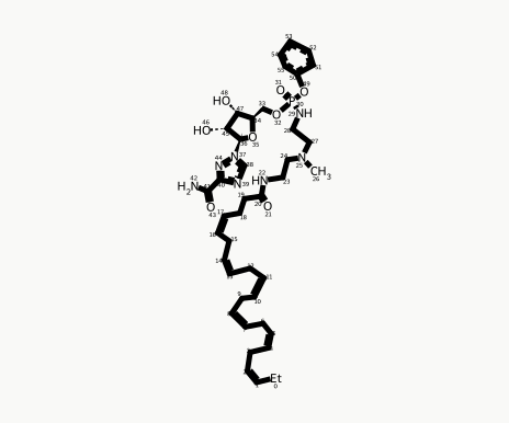 CC/C=C\C/C=C\C/C=C\C/C=C\C/C=C\C/C=C\CCC(=O)NCCN(C)CCNP(=O)(OC[C@H]1O[C@@H](n2cnc(C(N)=O)n2)[C@H](O)[C@@H]1O)Oc1ccccc1